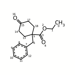 CCOC(=O)C1(Cc2ccccc2)CCC(=O)CC1